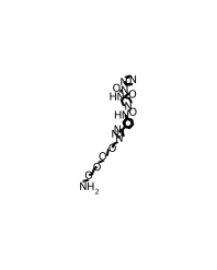 NCCOCCOCCOCCOCCn1cc(-c2cccc(NC(=O)N3CCC4(CC3)NC(=O)N(c3cnccn3)C4=O)c2)nn1